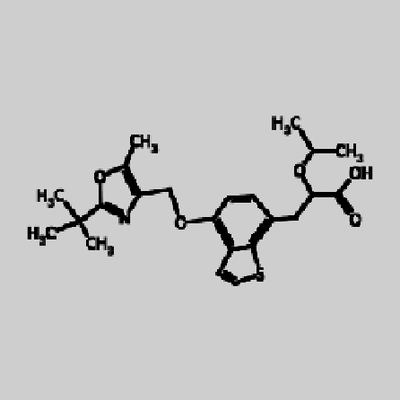 Cc1oc(C(C)(C)C)nc1COc1ccc(CC(OC(C)C)C(=O)O)c2sccc12